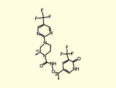 C[C@@H](ONC(=O)N1CCN(c2ncc(C(F)(F)F)cn2)C[C@@H]1C)c1c[nH]c(=O)c(C(F)(F)F)c1